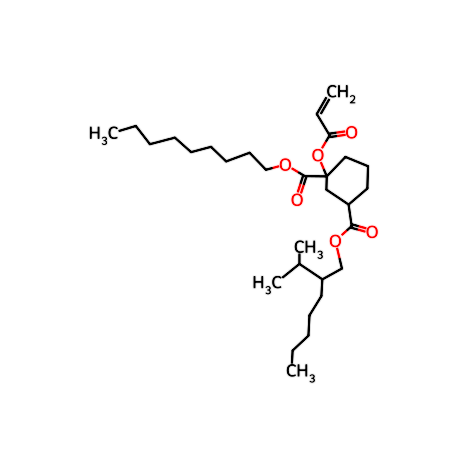 C=CC(=O)OC1(C(=O)OCCCCCCCCC)CCCC(C(=O)OCC(CCCCC)C(C)C)C1